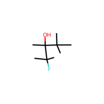 CC(C)(C)C(C)(O)C(C)(C)F